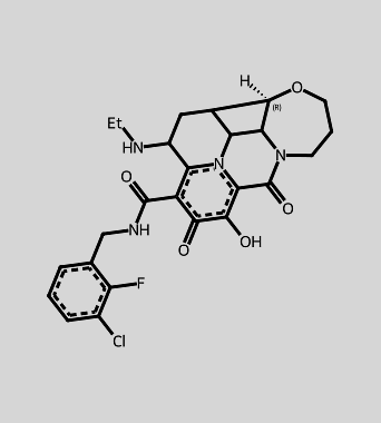 CCNC1CC2C3C4[C@@H]2OCCCN4C(=O)c2c(O)c(=O)c(C(=O)NCc4cccc(Cl)c4F)c1n23